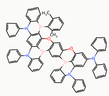 Cc1cccc(C)c1B1c2ccccc2N(c2ccccc2)c2cc3c4c(c21)Oc1cc2c(cc1B4c1ccccc1N3c1ccccc1)B1c3ccccc3N(c3ccccc3)c3cc(N(c4ccccc4)c4ccccc4)cc(c31)O2